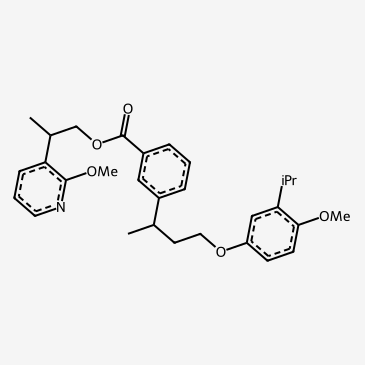 COc1ccc(OCCC(C)c2cccc(C(=O)OCC(C)c3cccnc3OC)c2)cc1C(C)C